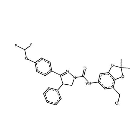 CC1(C)Oc2cc(NC(=O)N3CC(c4ccccc4)C(c4ccc(OC(F)F)cc4)=N3)cc(CCl)c2O1